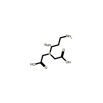 NCCCN(CC(=O)O)CC(=O)O.[NaH]